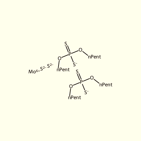 CCCCCOP(=S)([S-])OCCCCC.CCCCCOP(=S)([S-])OCCCCC.[Mo+6].[S-2].[S-2]